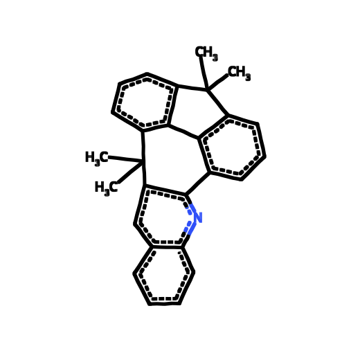 CC1(C)c2cc3ccccc3nc2-c2cccc3c2-c2c1cccc2C3(C)C